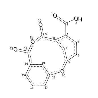 O=C(O)c1ccc2cc1c(=O)oc(=O)c1cccc(c1)o2